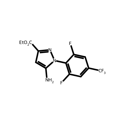 CCOC(=O)c1cc(N)n(-c2c(F)cc(C(F)(F)F)cc2F)n1